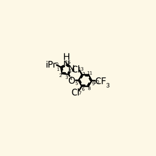 CC(C)c1cc(Oc2c(Cl)cc(C(F)(F)F)cc2Cl)n[nH]1